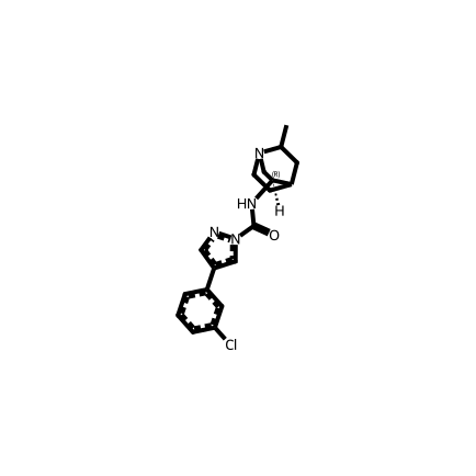 CC1CC2CCN1C[C@@H]2NC(=O)n1cc(-c2cccc(Cl)c2)cn1